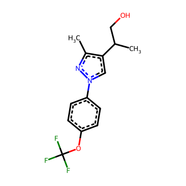 Cc1nn(-c2ccc(OC(F)(F)F)cc2)cc1C(C)CO